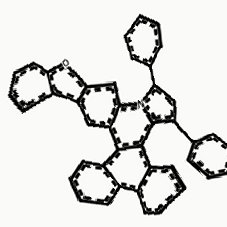 c1ccc(-c2cc(-c3ccccc3)n3c4cc5oc6ccccc6c5cc4c4c5ccccc5c5ccccc5c4c23)cc1